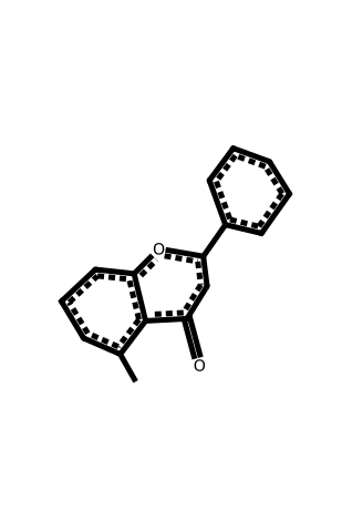 Cc1cccc2oc(-c3ccccc3)cc(=O)c12